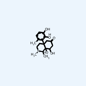 Cc1ccc(O)c(O)c1C12CCN(C)C(C)C1(O)C(O)CC(=O)C2